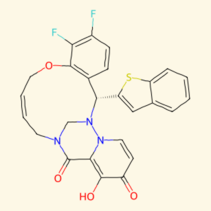 O=C1c2c(O)c(=O)ccn2N2CN1C/C=C\COc1c(ccc(F)c1F)[C@@H]2c1cc2ccccc2s1